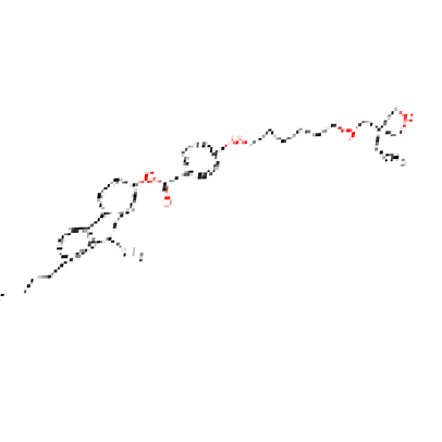 CCCCCc1ccc2c(c1)C(C)c1cc(OC(=O)c3ccc(OCCCCCCOCC4(CC)COC4)cc3)ccc1-2